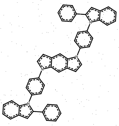 c1ccc(-c2cc3ccccc3n2-c2ccc(-n3ccc4cc5c(ccn5-c5ccc(-n6c(-c7ccccc7)cc7ccccc76)cc5)cc43)cc2)cc1